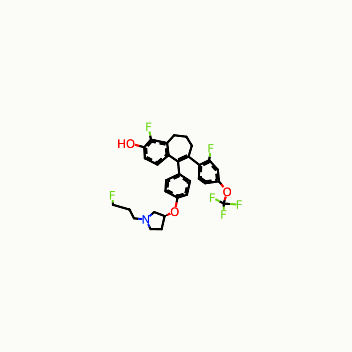 Oc1ccc2c(c1F)CCCC(c1ccc(OC(F)(F)F)cc1F)=C2c1ccc(O[C@H]2CCN(CCCF)C2)cc1